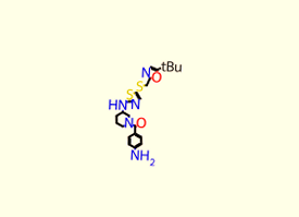 CC(C)(C)c1cnc(CSc2cnc(NC3CCCN(C(=O)c4ccc(N)cc4)C3)s2)o1